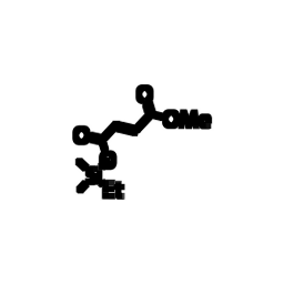 CC[Si](C)(C)OC(=O)/C=C/C(=O)OC